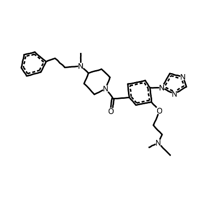 CN(C)CCOc1cc(C(=O)N2CCC(N(C)CCc3ccccc3)CC2)ccc1-n1cncn1